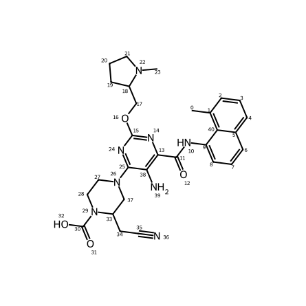 Cc1cccc2cccc(NC(=O)c3nc(OCC4CCCN4C)nc(N4CCN(C(=O)O)C(CC#N)C4)c3N)c12